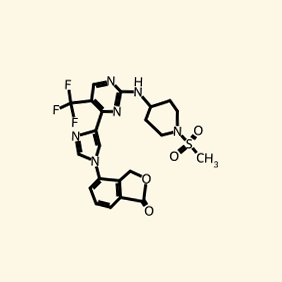 CS(=O)(=O)N1CCC(Nc2ncc(C(F)(F)F)c(-c3cn(-c4cccc5c4COC5=O)cn3)n2)CC1